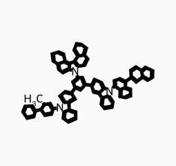 CC1C=C(n2c3ccccc3c3cc(-c4cc(-c5ccc6c(c5)c5ccccc5n6-c5ccc(-c6ccc7ccccc7c6)c6ccccc56)cc(-n5c6ccc7ccccc7c6c6c7ccccc7ccc65)c4)ccc32)C=CC1c1ccccc1